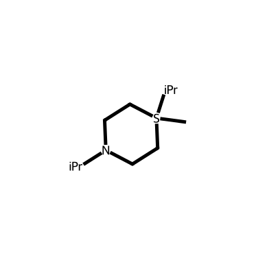 CC(C)N1CCS(C)(C(C)C)CC1